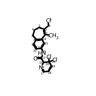 CC1=C(CCl)CCCc2ccc(NC(=O)C3N=CC=CC3(Cl)Cl)cc21